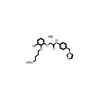 Br.CCCCCCCCCCCCCCOc1c(Cl)cccc1OCC(=O)Nc1ccc(CN2C=CSC2)cc1